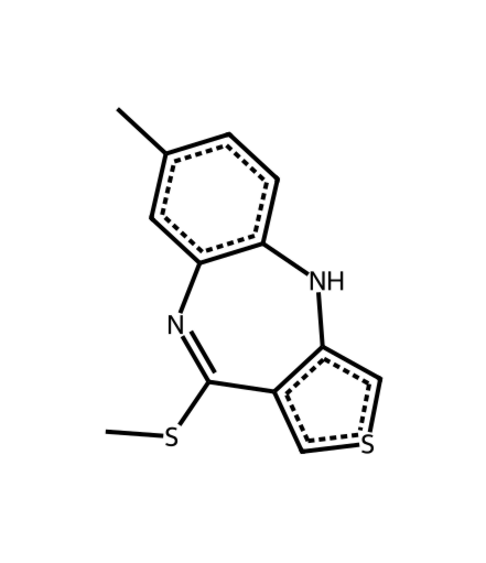 CSC1=Nc2cc(C)ccc2Nc2cscc21